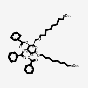 CCCCCCCCCCCCCCCCCCO[CH][C@H]1O[C@H](OCCCCCCCCCCCCCCCCCC)[C@H](OC(=O)c2ccccc2)[C@@H](OC(=O)c2ccccc2)[C@@H]1OC(=O)c1ccccc1